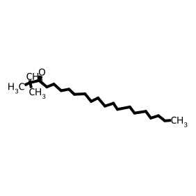 CCCCCCCCCCCCCCCCCCC(=O)C(C)(C)C